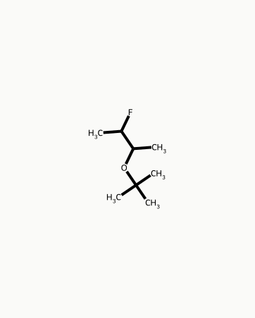 CC(F)C(C)OC(C)(C)C